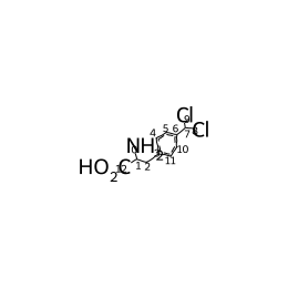 NC(Cc1ccc(C(Cl)Cl)cc1)C(=O)O